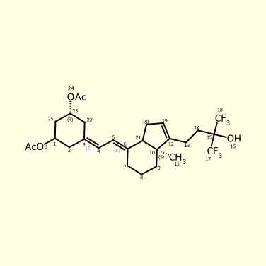 CC(=O)OC1C/C(=C/C=C2\CCC[C@]3(C)C(CCC(O)(C(F)(F)F)C(F)(F)F)=CCC23)C[C@@H](OC(C)=O)C1